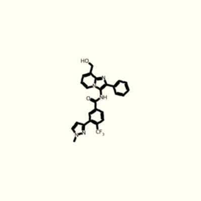 Cn1ccc(-c2cc(C(=O)Nc3c(-c4ccccc4)nc4c(CO)cccn34)ccc2C(F)(F)F)n1